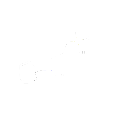 CCCS(C)(C)CCCN(C=O)c1ccccc1